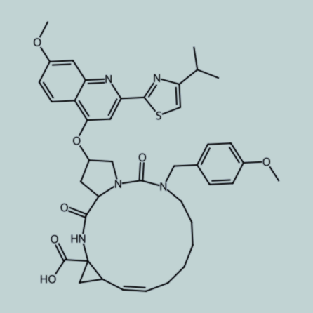 COc1ccc(CN2CCCCC/C=C\C3CC3(C(=O)O)NC(=O)C3CC(Oc4cc(-c5nc(C(C)C)cs5)nc5cc(OC)ccc45)CN3C2=O)cc1